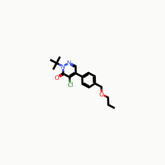 CCCOCc1ccc(-c2cnn(C(C)(C)C)c(=O)c2Cl)cc1